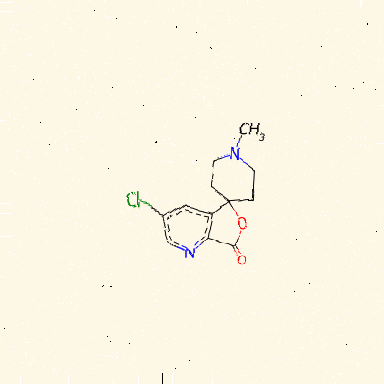 CN1CCC2(CC1)OC(=O)c1ncc(Cl)cc12